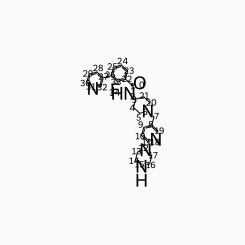 O=C(NC1CCN(Cc2ccc(N3CCNCC3)nc2)CC1)c1cccc(-c2cccnc2)c1F